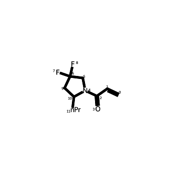 C=CC(=O)N1CC(F)(F)CC1CCC